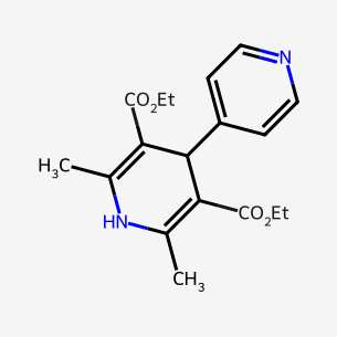 CCOC(=O)C1=C(C)NC(C)=C(C(=O)OCC)C1c1ccncc1